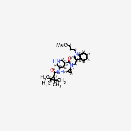 COCCCn1cc(CN(C(=O)[C@@H]2CNC[C@H](NC(=O)C3C(C)(C)C3(C)C)C2)C2CC2)c2ccccc21